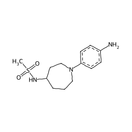 CS(=O)(=O)NC1CCCN(c2ccc(N)cc2)CC1